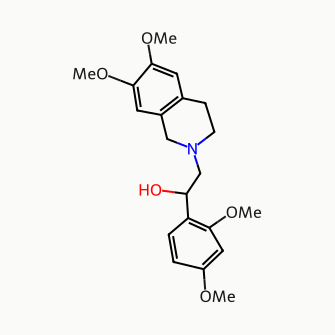 COc1ccc(C(O)CN2CCc3cc(OC)c(OC)cc3C2)c(OC)c1